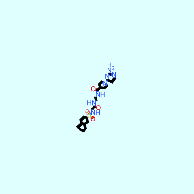 Nc1nccc(N2CCC(C(=O)NCCNC(=O)CNS(=O)(=O)c3ccc4ccccc4c3)CC2)n1